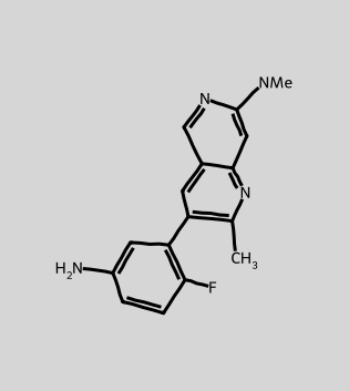 CNc1cc2nc(C)c(-c3cc(N)ccc3F)cc2cn1